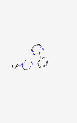 CN1CCN(c2cc[c]cc2-c2ncccn2)CC1